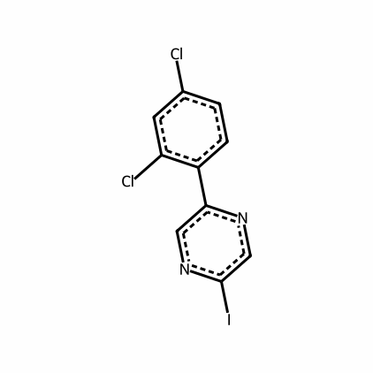 Clc1ccc(-c2cnc(I)cn2)c(Cl)c1